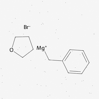 C1CCOC1.[Br-].[Mg+][CH2]c1ccccc1